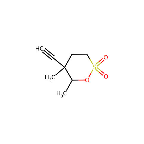 C#CC1(C)CCS(=O)(=O)OC1C